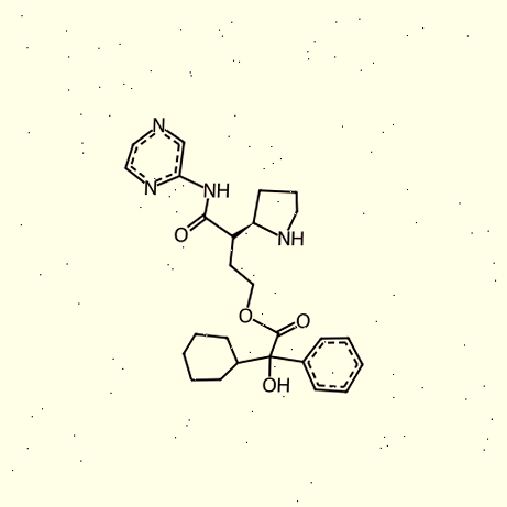 O=C(Nc1cnccn1)C(CCOC(=O)C(O)(c1ccccc1)C1CCCCC1)[C@H]1CCCN1